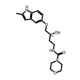 Cc1cc2cc(OC[C@@H](O)CCNC(=O)N3CCOCC3)ccc2[nH]1